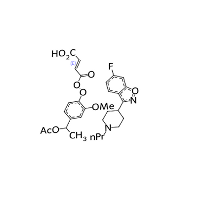 CCCN1CCC(c2noc3cc(F)ccc23)CC1.COc1cc(C(C)OC(C)=O)ccc1OOC(=O)/C=C/C(=O)O